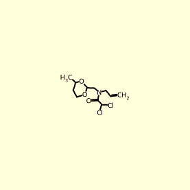 C=CCN(CC1OCCC(C)O1)C(=O)C(Cl)Cl